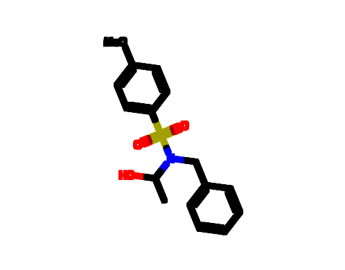 COc1ccc(S(=O)(=O)N(Cc2ccccc2)C(C)O)cc1